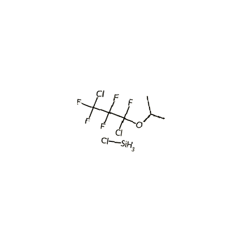 CC(C)OC(F)(Cl)C(F)(F)C(F)(F)Cl.[SiH3]Cl